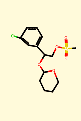 CS(=O)(=O)OCC(OC1CCCCO1)c1cccc(Cl)c1